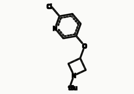 CC(C)(C)N1CC(Oc2ccc(Cl)nc2)C1